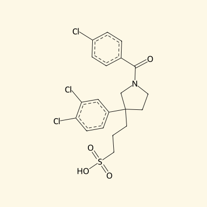 O=C(c1ccc(Cl)cc1)N1CCC(CCCS(=O)(=O)O)(c2ccc(Cl)c(Cl)c2)C1